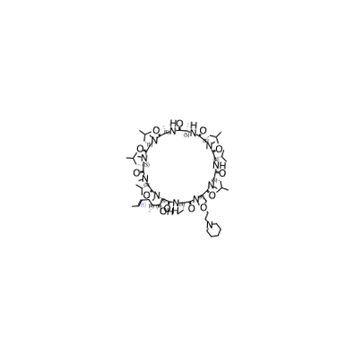 C/C=C/C[C@@H](C)[C@@H](O)[C@H]1C(=O)N[C@@H](CC)C(=O)N(C)[C@H](COCCN2CCCCC2)C(=O)N(C)[C@@H](CC(C)C)C(=O)N[C@@H](C(C)C)C(=O)N(C)[C@@H](CC(C)C)C(=O)N[C@@H](C)C(=O)N[C@@H](C)C(=O)N(C)[C@@H](CC(C)C)C(=O)N(C)[C@@H](CC(C)C)C(=O)N(C)[C@@H](C(C)C)C(=O)N1C